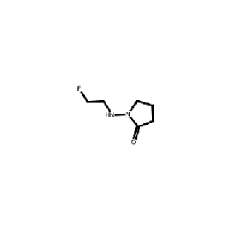 O=C1CCCN1NCCF